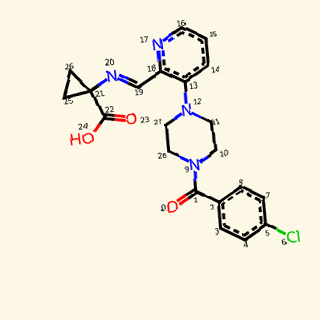 O=C(c1ccc(Cl)cc1)N1CCN(c2cccnc2C=NC2(C(=O)O)CC2)CC1